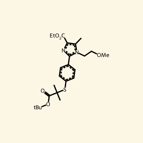 CCOC(=O)c1nc(-c2ccc(SC(C)(C)C(=O)OC(C)(C)C)cc2)n(CCOC)c1C